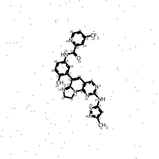 Cc1cc(Nc2ncc3c(n2)N2CCN=C2C(c2cc(NC(=O)c4cc(C(F)(F)F)ccn4)ccc2C)=C3)sn1